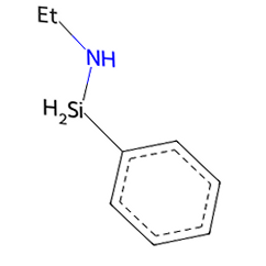 CCN[SiH2]c1ccccc1